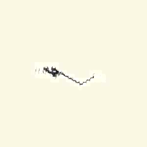 CCCCCCC/C=C\CCCCCCCCCOC[C@H](COC)OP(=O)([O-])OCC[N+](C)(C)C